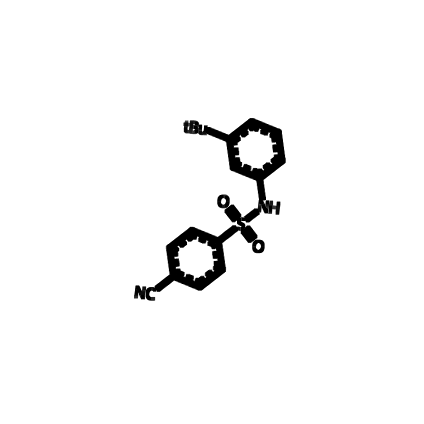 CC(C)(C)c1cccc(NS(=O)(=O)c2ccc(C#N)cc2)c1